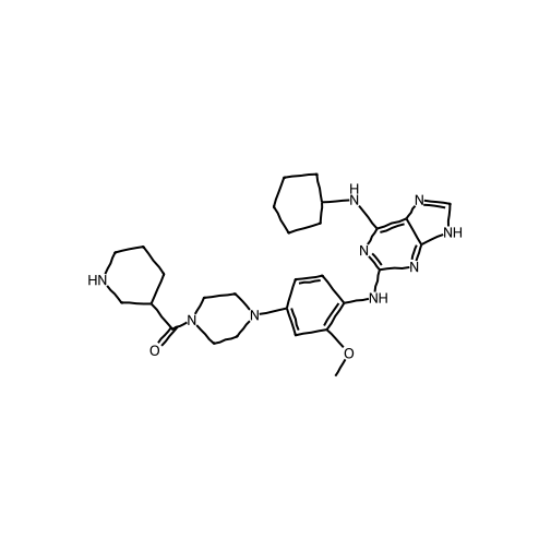 COc1cc(N2CCN(C(=O)C3CCCNC3)CC2)ccc1Nc1nc(NC2CCCCC2)c2nc[nH]c2n1